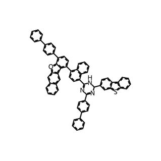 c1ccc(-c2ccc(C3=NC(c4ccc5c(c4)sc4ccccc45)NC(c4ccc(-c5ccc(-c6ccc(-c7ccccc7)cc6)c6oc7cc8ccccc8cc7c56)c5ccccc45)=N3)cc2)cc1